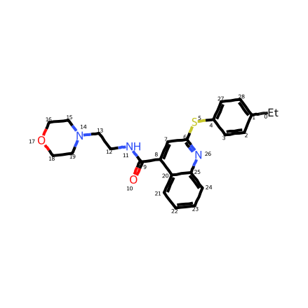 CCc1ccc(Sc2cc(C(=O)NCCN3CCOCC3)c3ccccc3n2)cc1